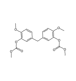 COC(=O)Oc1cc(Cc2ccc(OC)c(OC(=O)OC)c2)ccc1OC